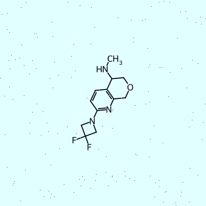 CNC1COCc2nc(N3CC(F)(F)C3)ccc21